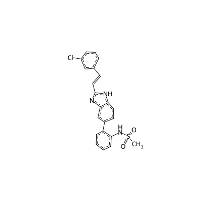 CS(=O)(=O)Nc1ccccc1-c1ccc2[nH]c(C=Cc3cccc(Cl)c3)nc2c1